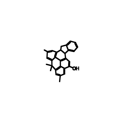 Cc1cc2c3c(c1)C(C)(C)c1cc(C)cc4c(O)cc(c-3c14)C1c3ccccc3CC21